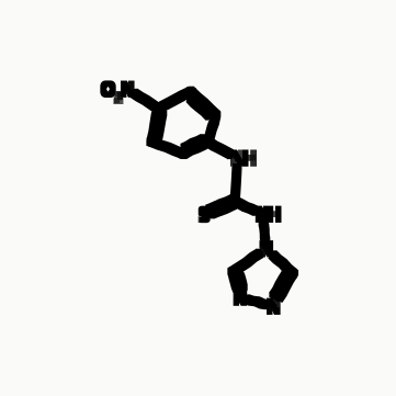 O=[N+]([O-])c1ccc(NC(=S)Nn2cnnc2)cc1